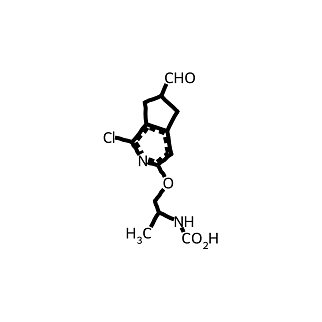 CC(COc1cc2c(c(Cl)n1)CC(C=O)C2)NC(=O)O